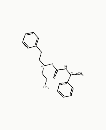 CCC[C@H](CCc1ccccc1)OC(=O)N[C@@H](C)c1ccccc1